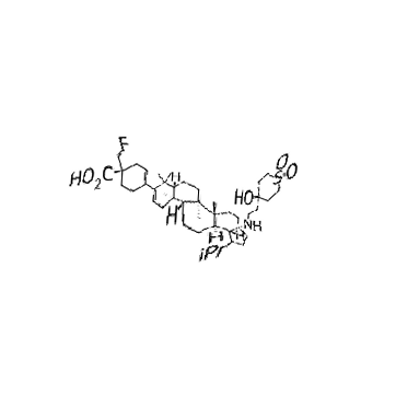 CC(C)[C@@H]1CC[C@]2(NCCC3(O)CCS(=O)(=O)CC3)CC[C@]3(C)[C@H](CC[C@@H]4[C@@]5(C)CC=C(C6=CC[C@](CF)(C(=O)O)CC6)C(C)(C)[C@@H]5CC[C@]43C)[C@@H]12